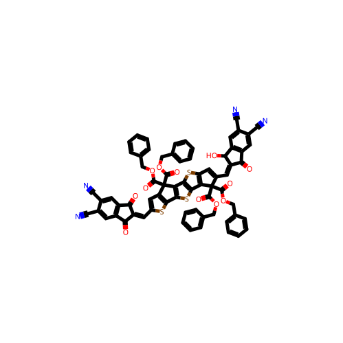 N#Cc1cc2c(cc1C#N)C(=O)C(=Cc1cc3c(s1)-c1sc4c5c(sc4c1C3(C(=O)OCc1ccccc1)C(=O)OCc1ccccc1)C=C(/C=C1/C(=O)c3cc(C#N)c(C#N)cc3C1O)C5(C(=O)OCc1ccccc1)C(=O)OCc1ccccc1)C2=O